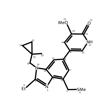 CCc1nc2c(CSC)cc(-c3c[nH]c(=O)c(OC)c3)cc2n1CC1(C)CC1